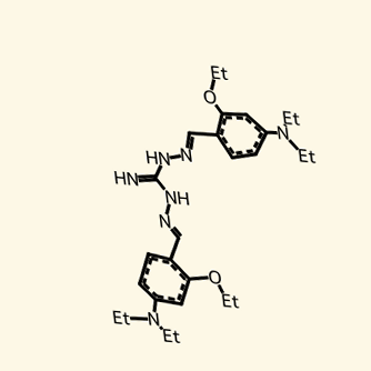 CCOc1cc(N(CC)CC)ccc1C=NNC(=N)NN=Cc1ccc(N(CC)CC)cc1OCC